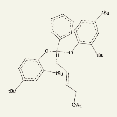 CC(=O)OCC=CC[PH](Oc1ccc(C(C)(C)C)cc1C(C)(C)C)(Oc1ccc(C(C)(C)C)cc1C(C)(C)C)c1ccccc1